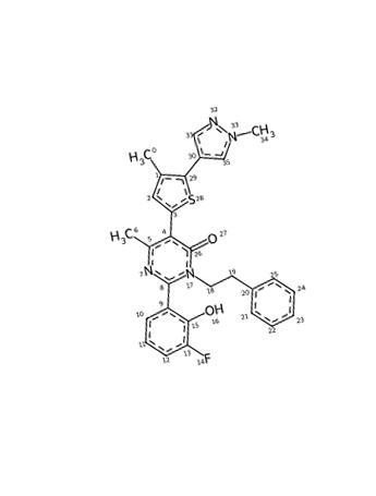 Cc1cc(-c2c(C)nc(-c3cccc(F)c3O)n(CCc3ccccc3)c2=O)sc1-c1cnn(C)c1